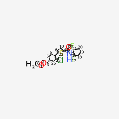 COOCc1ccc(-c2ccc(C(=O)Nc3c(F)cccc3F)s2)c(Cl)c1